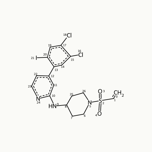 C=CS(=O)(=O)N1CCC(Nc2cc(-c3cc(Cl)c(Cl)cc3I)ccn2)CC1